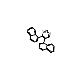 c1ccc2c(-c3cnnnc3-c3cccc4ccccc34)cccc2c1